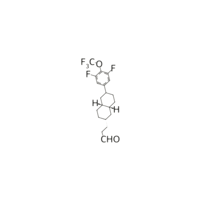 O=CCC[C@@H]1CC[C@@H]2CC(c3cc(F)c(OC(F)(F)F)c(F)c3)CC[C@@H]2C1